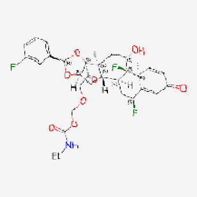 CCNC(=O)OCOCC(=O)[C@@]12O[C@H](c3cccc(F)c3)O[C@@H]1C[C@H]1[C@@H]3C[C@H](F)C4=CC(=O)C=C[C@]4(C)[C@@]3(F)[C@@H](O)C[C@@]12C